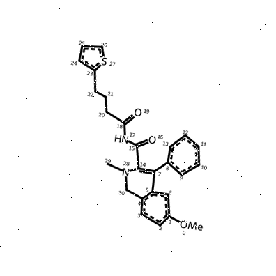 COc1ccc2c(c1)C(c1ccccc1)=C(C(=O)NC(=O)CCCc1cccs1)N(C)C2